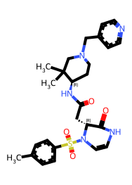 Cc1ccc(S(=O)(=O)N2C=CNC(=O)[C@H]2CC(=O)N[C@@H]2CCN(Cc3ccncc3)CC2(C)C)cc1